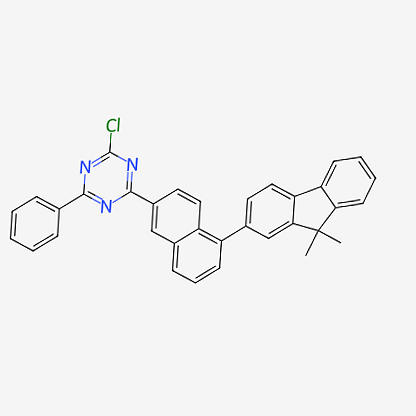 CC1(C)c2ccccc2-c2ccc(-c3cccc4cc(-c5nc(Cl)nc(-c6ccccc6)n5)ccc34)cc21